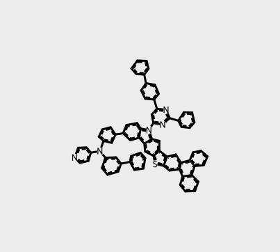 c1ccc(-c2ccc(-c3cc(-n4c5ccc(-c6cccc(N(c7ccncc7)c7cccc(-c8ccccc8)c7)c6)cc5c5cc6sc7cc8c9ccccc9c9ccccc9c8cc7c6cc54)nc(-c4ccccc4)n3)cc2)cc1